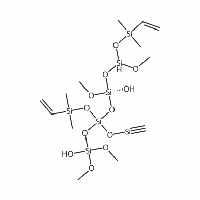 C#[Si]O[Si](O[Si](C)(C)C=C)(O[Si](O)(OC)OC)O[Si@@](O)(OC)O[SiH](OC)O[Si](C)(C)C=C